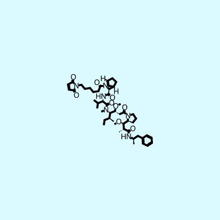 CC[C@H](C)[C@@H]([C@@H](CC(=O)N1CCC[C@H]1[C@H](OC)[C@@H](C)C(=O)N[C@H](C)Cc1ccccc1)OC)N(C)C(=O)[C@@H](NC(=O)[C@@H]1[C@H]2CC[C@H](C2)N1C(=O)CCCCCN1C(=O)C=CC1=O)C(C)C